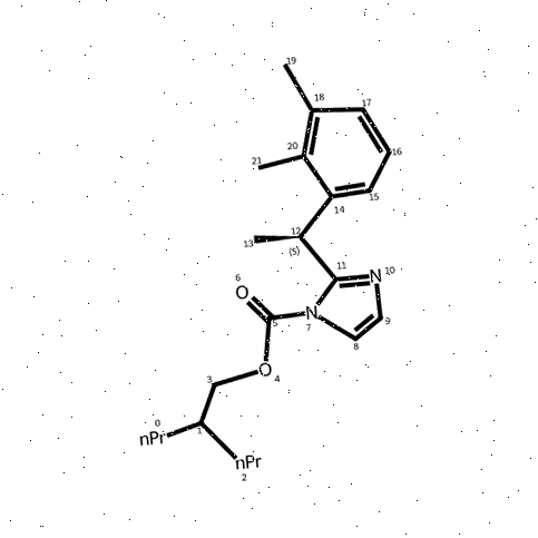 CCCC(CCC)COC(=O)n1ccnc1[C@@H](C)c1cccc(C)c1C